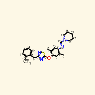 Cc1cc(Oc2nc(Cc3ccccc3C(F)(F)F)ns2)c(C)cc1N=CN1CCCCC1